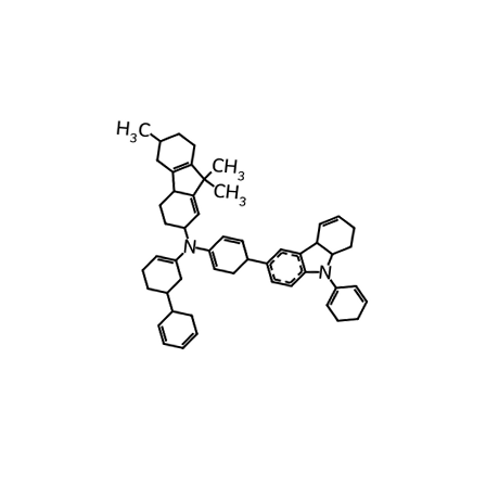 CC1CCC2=C(C1)C1CCC(N(C3=CCC(c4ccc5c(c4)C4C=CCCC4N5C4=CCCC=C4)C=C3)C3=CCCC(C4C=CC=CC4)C3)C=C1C2(C)C